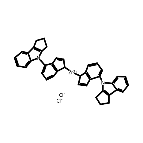 C1=C[CH]([Zr+2][CH]2C=Cc3c2cccc3-n2c3c(c4ccccc42)CCC3)c2cccc(-n3c4c(c5ccccc53)CCC4)c21.[Cl-].[Cl-]